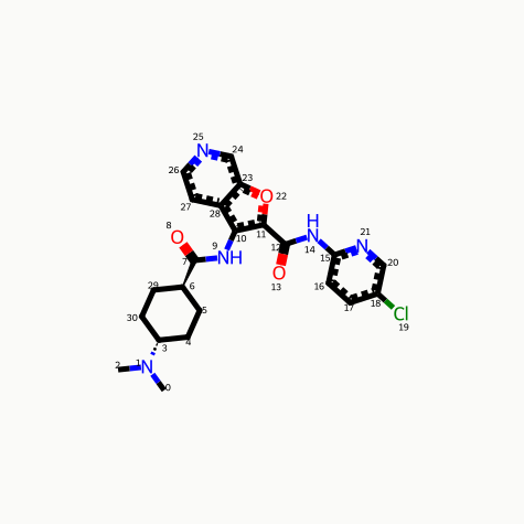 CN(C)[C@H]1CC[C@H](C(=O)Nc2c(C(=O)Nc3ccc(Cl)cn3)oc3cnccc23)CC1